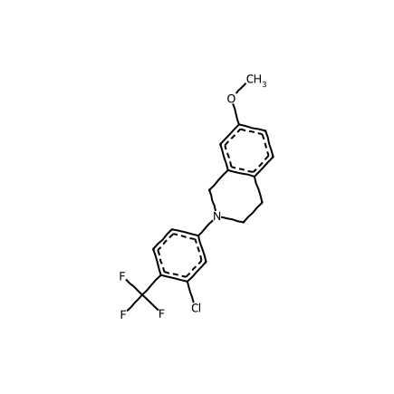 COc1ccc2c(c1)CN(c1ccc(C(F)(F)F)c(Cl)c1)CC2